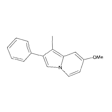 COc1ccn2cc(-c3ccccc3)c(C)c2c1